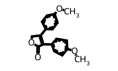 COc1ccc(C2=C(c3ccc(OC)cc3)C(=O)OC2)cc1